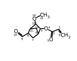 C=CC(=O)OC1C2CC(C=O)C(C2)C1OC